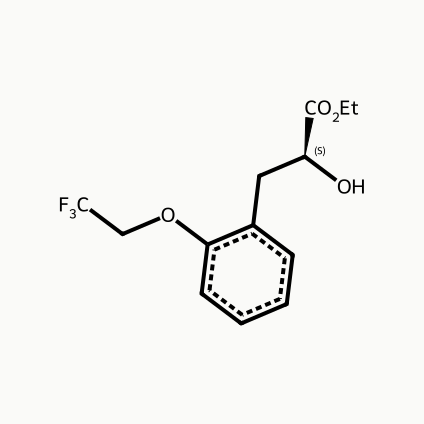 CCOC(=O)[C@@H](O)Cc1ccccc1OCC(F)(F)F